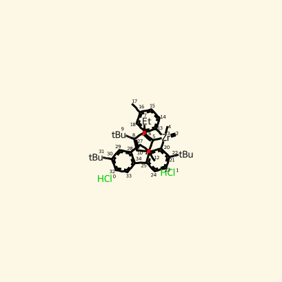 Cl.Cl.[CH2]=[Zr]([CH3])([C]1=C(CC)C(C(C)(C)C)=CC1C)([c]1ccc(C)cc1)[c]1c(C(C)(C)C)ccc2c1Cc1cc(C(C)(C)C)ccc1-2